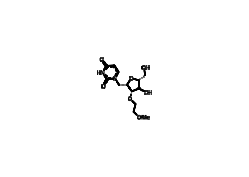 COCCO[C@H]1C(O)[C@@H](CO)O[C@H]1Cn1ccc(=O)[nH]c1=O